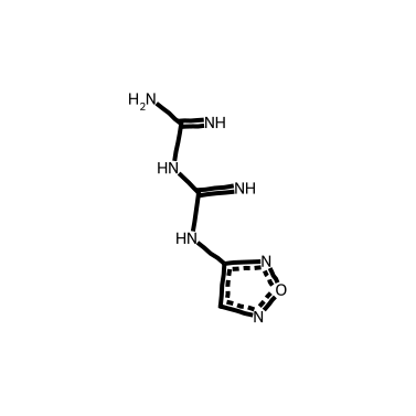 N=C(N)NC(=N)Nc1cnon1